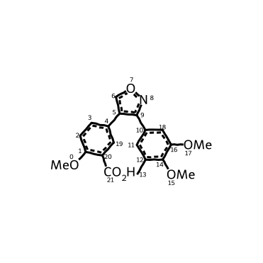 COc1ccc(-c2conc2-c2cc(C)c(OC)c(OC)c2)cc1C(=O)O